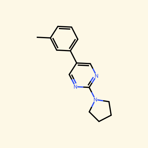 Cc1cccc(-c2cnc(N3CCCC3)nc2)c1